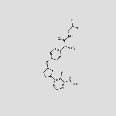 CCCNc1nccc(N2CC[C@@H](Oc3ccc(C(C)C(=O)NCC(F)F)cc3)C2)c1F